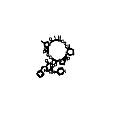 C[C@@H]1C[C@H]2C(=O)OC[C@H](NC(=O)[C@H](Cc3ccccc3)NC(=O)Nc3ccncc3)C(=O)N3CCC[C@H]3C(=O)N3CCCC[C@H]3COCN[C@@H](C)C(=O)N2C1